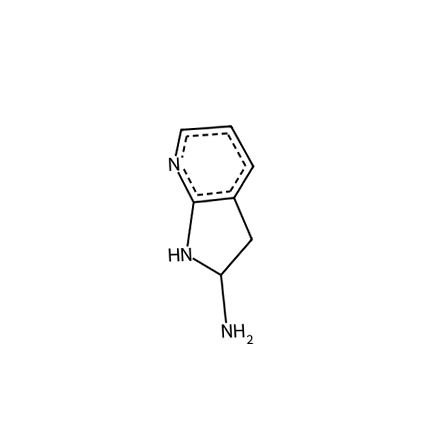 NC1Cc2cccnc2N1